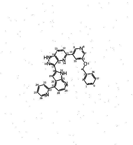 c1ccc(COc2cncc(-c3ccc4[nH]nc(-c5cc6c(-c7ccccn7)ccnc6[nH]5)c4n3)c2)cc1